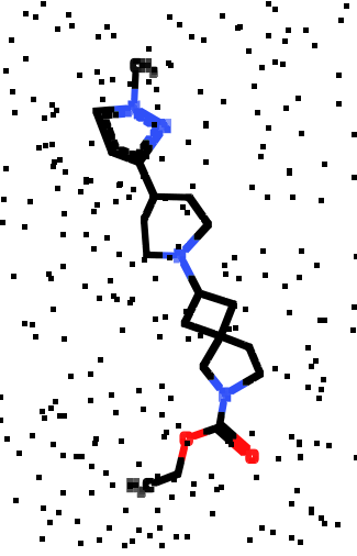 CCOC(=O)N1CCC2(CC(N3CCC(c4ccn(C)n4)CC3)C2)C1